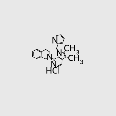 Cc1c(C)n(Cc2ccccn2)c2c(N3CCc4ccccc4C3)nccc12.Cl